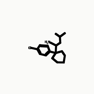 CC(C)CC(N)C1(c2ccc(Cl)cc2)CCCCC1